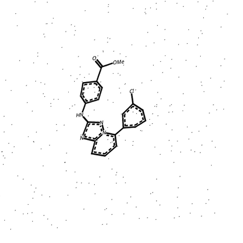 COC(=O)c1ccc(Nc2nc3cccc(-c4cccc(Cl)c4)n3n2)cc1